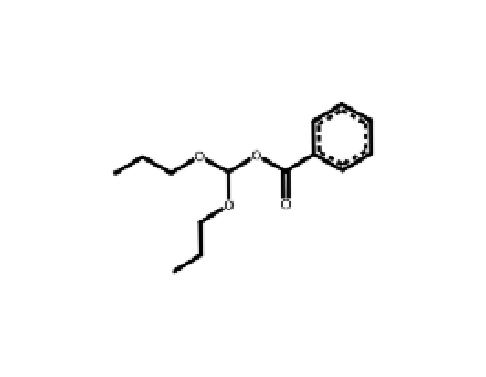 CCCOC(OCCC)OC(=O)c1ccccc1